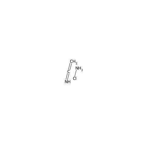 C=C=N.NCl